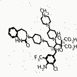 CN1CCN(C2CCN(C([C@H](CCN3CCC(N4CCc5ccccc5NC4=O)CC3)Cc3cc(Cl)c(N)c(C(F)(F)F)c3)[C@@](O)(C(=O)O)[C@H](O)C(=O)O)CC2)CC1